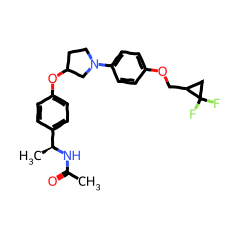 CC(=O)N[C@@H](C)c1ccc(OC2CCN(c3ccc(OCC4CC4(F)F)cc3)C2)cc1